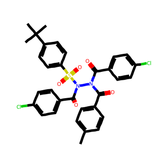 Cc1ccc(C(=O)N(C(=O)c2ccc(Cl)cc2)N(C(=O)c2ccc(Cl)cc2)S(=O)(=O)c2ccc(C(C)(C)C)cc2)cc1